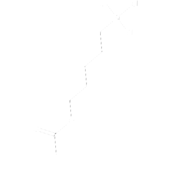 CC(=O)OCCCCC[Si](Cl)(Cl)Cl